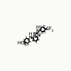 CC1(O)CCC(Nc2cccc3nc(Nc4ccc(C(F)(F)F)cc4)nn23)CC1